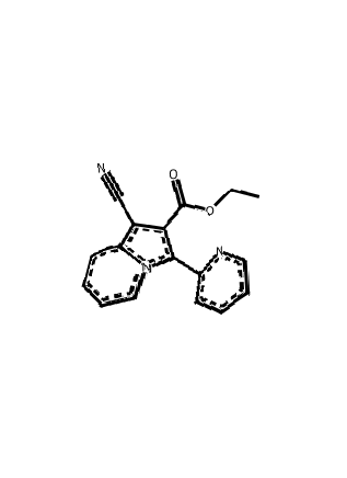 CCOC(=O)c1c(C#N)c2ccccn2c1-c1ccccn1